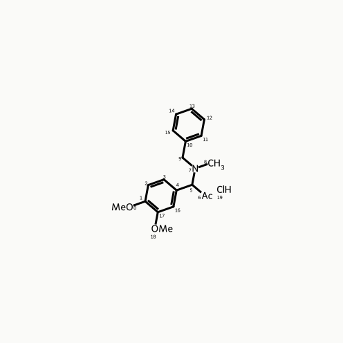 COc1ccc(C(C(C)=O)N(C)Cc2ccccc2)cc1OC.Cl